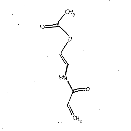 C=CC(=O)NC=COC(C)=O